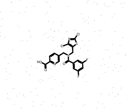 O=C(O)c1ccc(CN(Cc2sc(Cl)nc2Cl)C(=O)c2cc(F)cc(F)c2)cn1